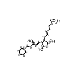 O=C(O)CCCC=CC[C@@H]1[C@@H](C=C[C@@H](O)CCc2ccccc2)[C@H](O)C[C@@H]1O